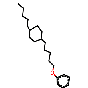 CCCCCC1CCC(CCCCCOc2ccccc2)CC1